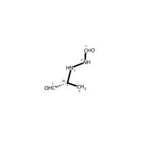 C[C@H]([C]=O)NNC=O